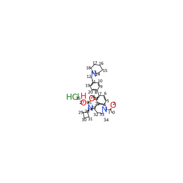 CC(=O)N1c2ccc(-c3ccc(CN4CCCCC4)cc3)cc2[C@@H](N(C(=O)O)C2CCC2)C[C@H]1C.Cl